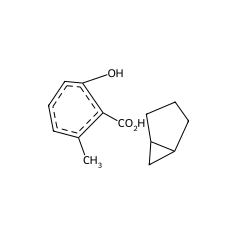 C1CC2CC2C1.Cc1cccc(O)c1C(=O)O